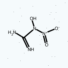 N=C(N)N(O)[N+](=O)[O-]